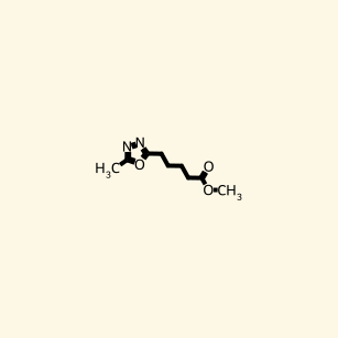 COC(=O)CCCCc1nnc(C)o1